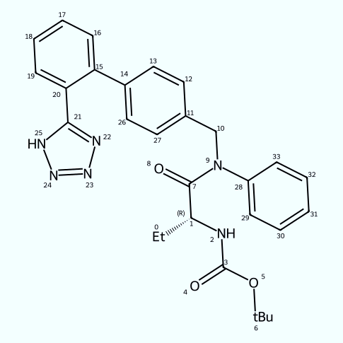 CC[C@@H](NC(=O)OC(C)(C)C)C(=O)N(Cc1ccc(-c2ccccc2-c2nnn[nH]2)cc1)c1ccccc1